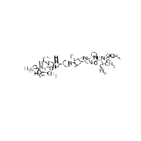 COC(=O)N[C@H](C(=O)N1CCC[C@H]1c1ncc(-c2cc(F)c(N3CCC(c4cnc([C@@H]5CCCCN5C(=O)[C@@H](NC(=O)OC)C(C)C)[nH]4)CC3)c(F)c2)[nH]1)C(C)C